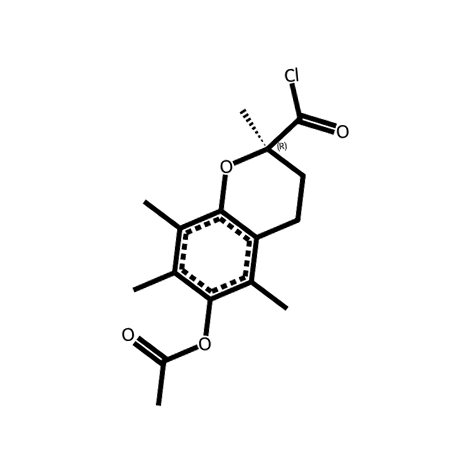 CC(=O)Oc1c(C)c(C)c2c(c1C)CC[C@](C)(C(=O)Cl)O2